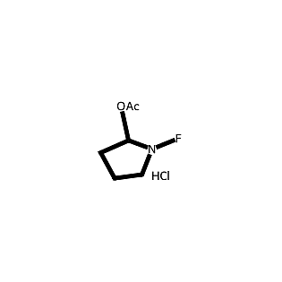 CC(=O)OC1CCCN1F.Cl